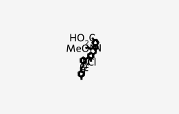 COCCn1c(Cc2ccc(-c3cccc(OCc4ccc(C)cc4F)n3)c(Cl)c2)nc2ccc(C(=O)O)cc21